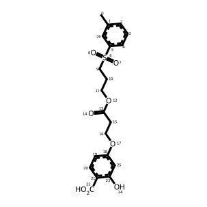 Cc1cccc(S(=O)(=O)CCCOC(=O)CCOc2ccc(C(=O)O)c(O)c2)c1